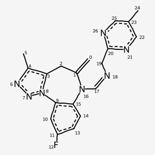 C=C1Cc2c(C)nnn2-c2cc(F)ccc2N1/C=N\Cc1ncc(C)cn1